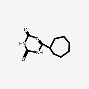 O=c1nc(C2CCCCCC2)[nH]c(=O)[nH]1